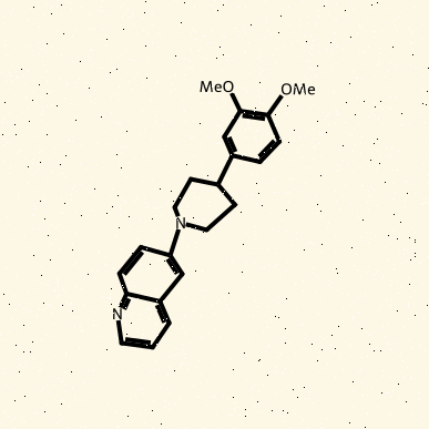 COc1ccc(C2CCN(c3ccc4ncccc4c3)CC2)cc1OC